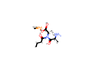 CCCC(=O)N(C(=O)[C@H](C)N)[C@@H](C)C(=O)OPC